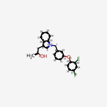 C=C(O)Cc1cn(Cc2cccc(Oc3ccc(F)cc3F)c2)c2ccccc12